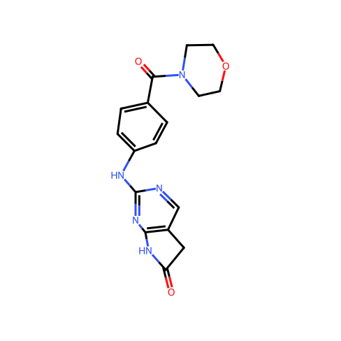 O=C1Cc2cnc(Nc3ccc(C(=O)N4CCOCC4)cc3)nc2N1